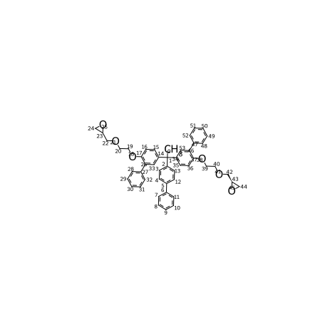 CC(c1ccc(-c2ccccc2)cc1)(c1ccc(OCCOCC2CO2)c(-c2ccccc2)c1)c1ccc(OCCOC[C@H]2CO2)c(-c2ccccc2)c1